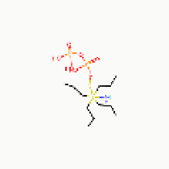 CCCS(CCC)(CCC)(CCC)(NF)SOP(=O)(O)OP(=O)(O)O